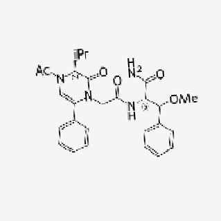 COC(c1ccccc1)[C@H](NC(=O)CN1C(=O)[C@H](C(C)C)N(C(C)=O)C=C1c1ccccc1)C(N)=O